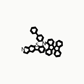 c1ccc(-c2ccc(N(c3cccc4c3-c3ccccc3C43c4ccccc4-c4ccccc43)c3cccc4c3sc3cc5cnccc5cc34)cc2)cc1